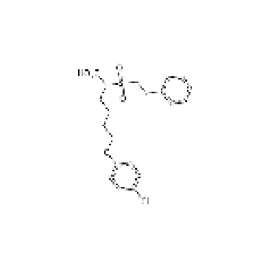 O=C(O)C(CCCCOc1ccc(Cl)cc1)S(=O)(=O)CCc1ccccc1